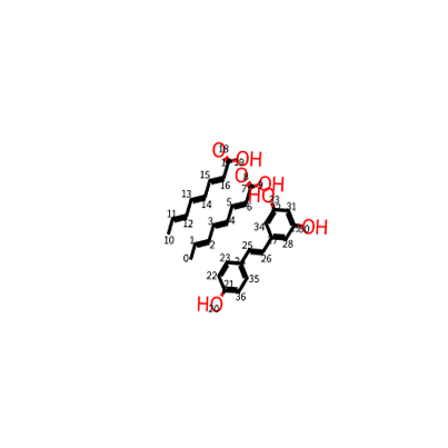 CC=CC=CC=CC(=O)O.CC=CC=CC=CC(=O)O.Oc1ccc(C=Cc2cc(O)cc(O)c2)cc1